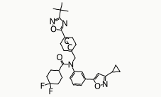 CC(C)(C)c1noc(C23CCC(CN(C(=O)C4CCC(F)(F)CC4)c4cccc(-c5cc(C6CC6)no5)c4)(CC2)CC3)n1